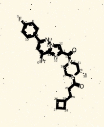 CC(C)c1cc(-c2ccc(F)cc2)nn2cc(C(=O)N3CCN(C(=O)CCC4CCC4)[C@@H](C)C3)nc12